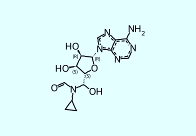 Nc1ncnc2c1ncn2[C@@H]1O[C@H](C(O)N(C=O)C2CC2)[C@@H](O)[C@H]1O